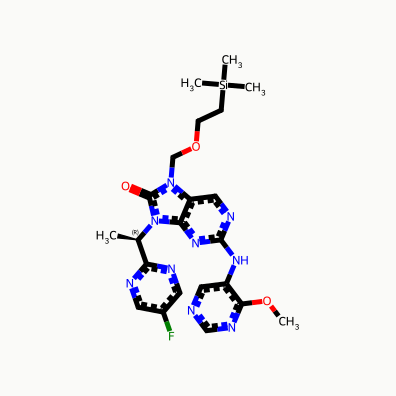 COc1ncncc1Nc1ncc2c(n1)n([C@H](C)c1ncc(F)cn1)c(=O)n2COCC[Si](C)(C)C